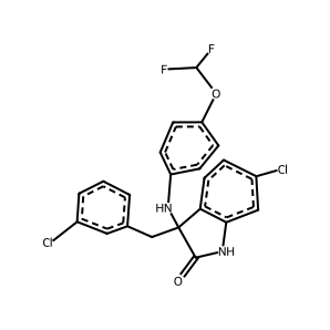 O=C1Nc2cc(Cl)ccc2C1(Cc1cccc(Cl)c1)Nc1ccc(OC(F)F)cc1